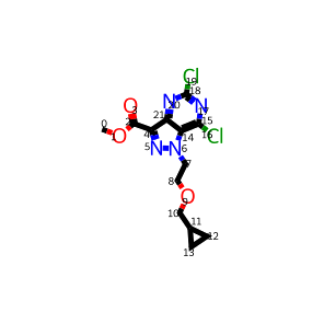 COC(=O)c1nn(CCOCC2CC2)c2c(Cl)nc(Cl)nc12